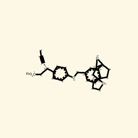 CC#C[C@@H](CC(=O)OCC)c1ccc(OCc2cccc(C34CCC5(CC3O4)OCCO5)c2)cc1